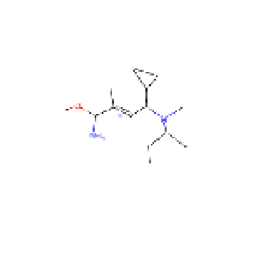 CCC(C)N(C)C(/C=C(\C)C(N)OC)C1CC1